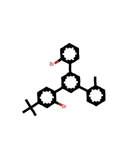 Cc1ccccc1-c1cc(-c2ccccc2Br)cc(-c2ccc(C(C)(C)C)cc2Br)c1